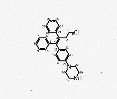 ClCCC(=C(c1ccccc1)c1ccc(N2CCNCC2)cc1)c1ccccc1